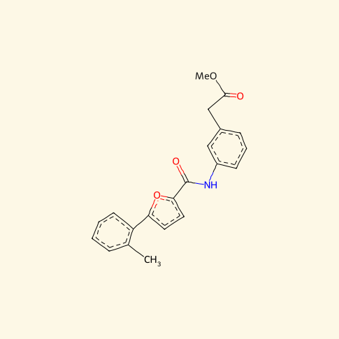 COC(=O)Cc1cccc(NC(=O)c2ccc(-c3ccccc3C)o2)c1